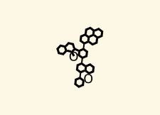 c1ccc2c(c1)Oc1cccc3c(-c4ccc(-c5ccc6ccc7cccc8ccc5c6c78)c5c4oc4c6ccccc6ccc45)ccc-2c13